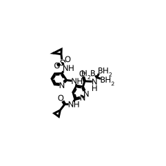 BC(B)(B)NC(=O)c1nnc(NC(=O)C2CC2)cc1Nc1ncccc1NS(=O)(=O)C1CC1